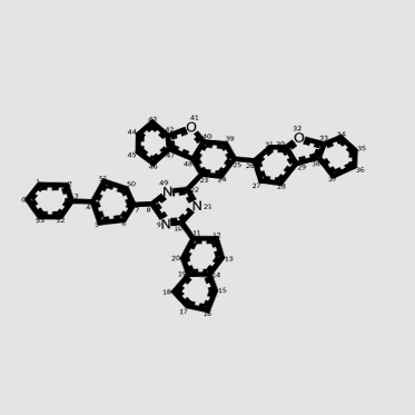 c1ccc(-c2ccc(-c3nc(-c4ccc5ccccc5c4)nc(-c4cc(-c5ccc6c(c5)oc5ccccc56)cc5oc6ccccc6c45)n3)cc2)cc1